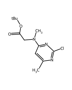 Cc1cc(N(C)CC(=O)OC(C)(C)C)nc(Cl)n1